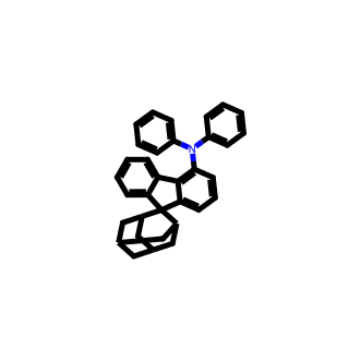 c1ccc(N(c2ccccc2)c2cccc3c2-c2ccccc2C32C3CC4CC(C3)CC2C4)cc1